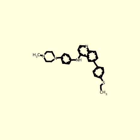 CCSc1ccc(-c2ccc3nccc(Nc4ccc(N5CCN(C)CC5)cc4)c3c2)cc1